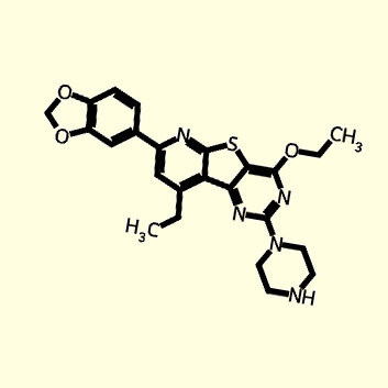 CCOc1nc(N2CCNCC2)nc2c1sc1nc(-c3ccc4c(c3)OCO4)cc(CC)c12